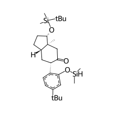 C[SiH](C)Oc1cc(C(C)(C)C)ccc1[C@@H]1C[C@@H]2CC[C@H](O[Si](C)(C)C(C)(C)C)[C@@]2(C)CC1=O